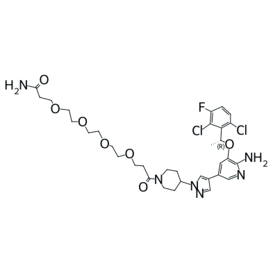 C[C@@H](Oc1cc(-c2cnn(C3CCN(C(=O)CCOCCOCCOCCOCCC(N)=O)CC3)c2)cnc1N)c1c(Cl)ccc(F)c1Cl